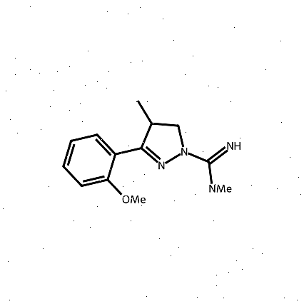 CNC(=N)N1CC(C)C(c2ccccc2OC)=N1